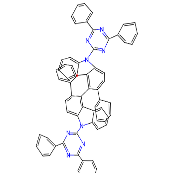 c1ccc(-c2nc(-c3ccccc3)nc(-n3c4ccccc4c4c(-c5c(-c6ccccc6)ccc6c5c5ccccc5n6-c5nc(-c6ccccc6)nc(-c6ccccc6)n5)c(-c5ccccc5)ccc43)n2)cc1